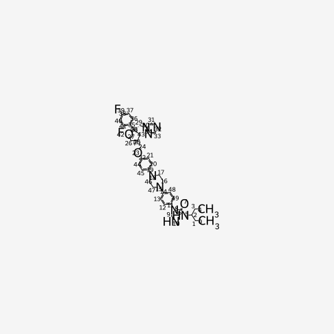 CCC(CC)NC(=O)N(C=N)c1ccc(N2CCN(c3ccc(OC[C@@H]4CO[C@@](Cn5cncn5)(c5ccc(F)cc5F)C4)cc3)CC2)cc1